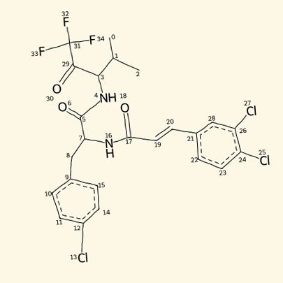 CC(C)C(NC(=O)C(Cc1ccc(Cl)cc1)NC(=O)/C=C/c1ccc(Cl)c(Cl)c1)C(=O)C(F)(F)F